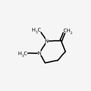 C=C1CCCN(C)N1C